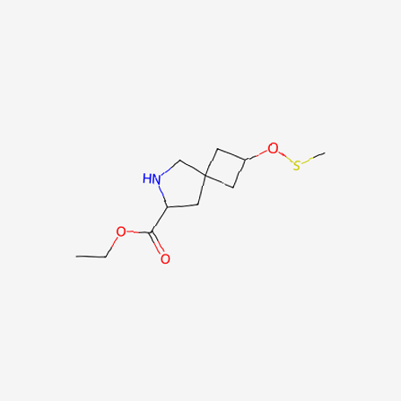 CCOC(=O)C1CC2(CN1)CC(OSC)C2